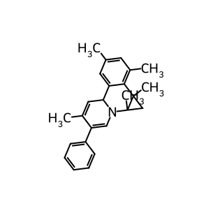 CC1=CC2c3cc(C)cc(C)c3C3(C)CC3(C)N2C=C1c1ccccc1